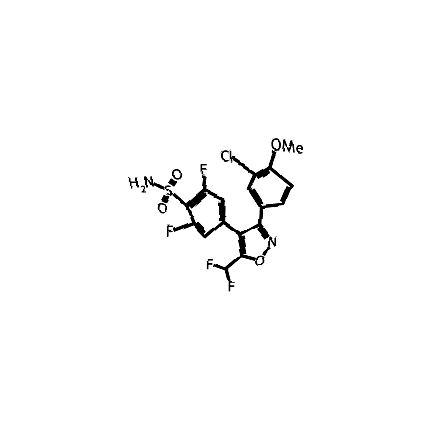 COc1ccc(-c2noc(C(F)F)c2-c2cc(F)c(S(N)(=O)=O)c(F)c2)cc1Cl